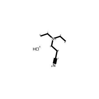 CCN(CC)CCC#N.Cl